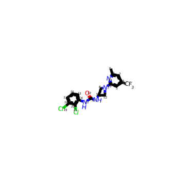 Cc1cc(C(F)(F)F)cc(N2CC(NC(=O)Nc3cccc(Cl)c3Cl)C2)n1